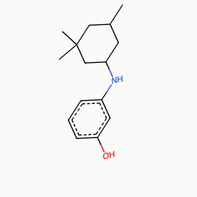 CC1CC(Nc2cccc(O)c2)CC(C)(C)C1